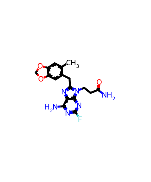 Cc1cc2c(cc1Cc1nc3c(N)nc(F)nc3n1CCC(N)=O)OCO2